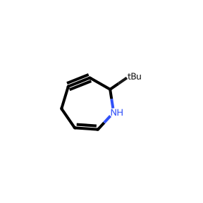 CC(C)(C)C1C#CCC=CN1